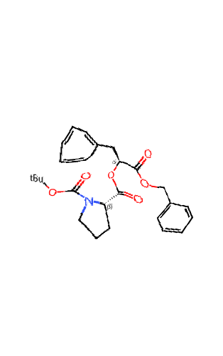 CC(C)(C)OC(=O)N1CCC[C@H]1C(=O)O[C@@H](Cc1ccccc1)C(=O)OCc1ccccc1